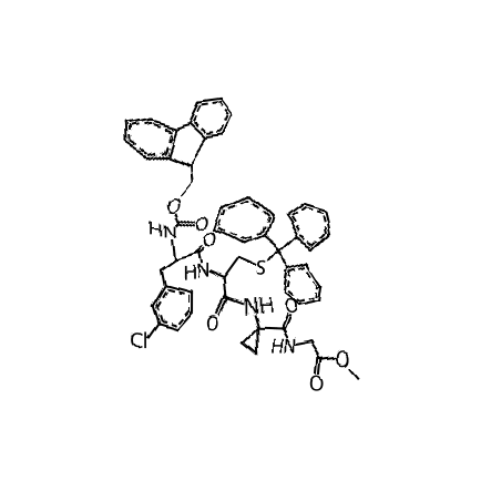 COC(=O)CNC(=O)C1(NC(=O)C(CSC(c2ccccc2)(c2ccccc2)c2ccccc2)NC(=O)C(Cc2cccc(Cl)c2)NC(=O)OCC2c3ccccc3-c3ccccc32)CC1